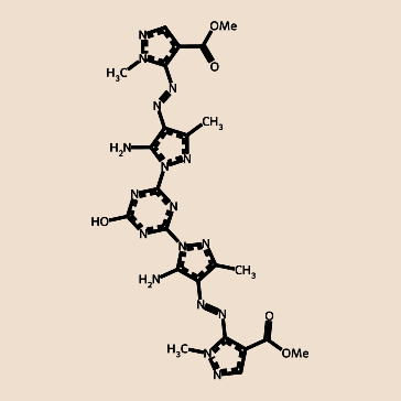 COC(=O)c1cnn(C)c1/N=N/c1c(C)nn(-c2nc(O)nc(-n3nc(C)c(/N=N/c4c(C(=O)OC)cnn4C)c3N)n2)c1N